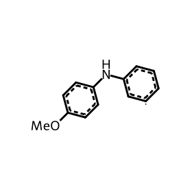 COc1ccc(Nc2c[c]ccc2)cc1